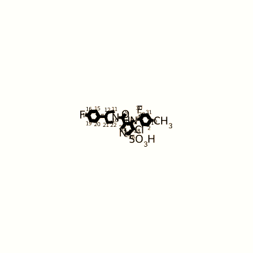 Cc1ccc(Nc2c(C(=O)N3CCC(c4ccc(F)cc4)CC3)cnc(S(=O)(=O)O)c2Cl)c(F)c1